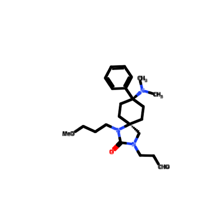 COCCCN1C(=O)N(CCC=O)C[C@]12CC[C@](c1ccccc1)(N(C)C)CC2